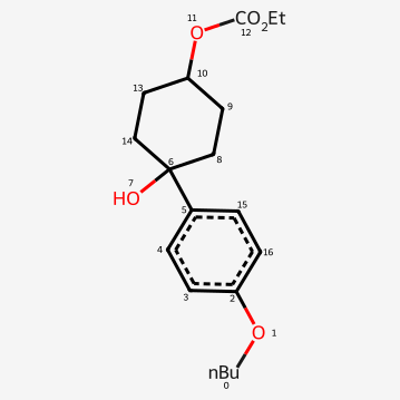 CCCCOc1ccc(C2(O)CCC(OC(=O)OCC)CC2)cc1